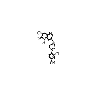 N#Cc1ccc(N2CCN(Cc3cnc4cc(Cl)c(=O)[nH]c4c3)CC2)c(Cl)n1